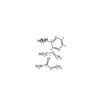 C=CC(=O)O.C=CC(N)=O.O=C(O)c1ccccc1.[NaH]